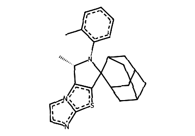 Cc1ccccc1N1[C@@H](C)c2c(sc3nccn23)C12C1CC3CC(C1)CC2C3